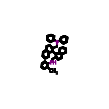 Cc1ccccc1PCc1ccc2ccccc2c1-c1c(CP(c2ccccc2)c2ccccc2)ccc2ccccc12